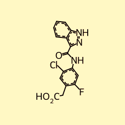 O=C(O)Cc1cc(Cl)c(NC(=O)c2n[nH]c3ccccc23)cc1F